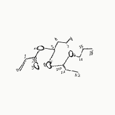 C=CC(=O)OC(CCC)OC(CC)OCCC